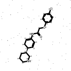 O=C(COc1ccc(Cl)cc1)NC1=CCC([C@@H]2CCCNC2)C=C1